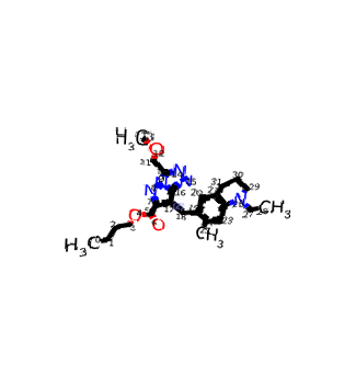 CCCCOC(=O)c1nn2c(COC)nnc2/c1=C\c1cc2c(cc1C)N(CC)CCC2